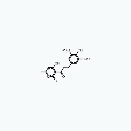 COc1cc(/C=C/C(=O)c2c(O)cc(C)oc2=O)cc(OC)c1O